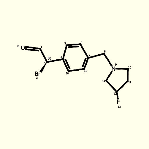 O=C[C@H](Br)c1ccc(CN2CCC(F)C2)cc1